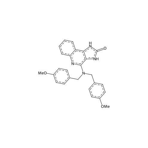 COc1ccc(CN(Cc2ccc(OC)cc2)c2nc3ccccc3c3[nH]c(=O)[nH]c23)cc1